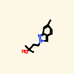 Cc1ccc2cn(CCC(C)(C)O)nc2c1